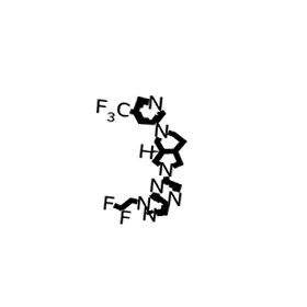 FC(F)Cn1ncc2ncc(N3CC4CCN(c5cncc(C(F)(F)F)c5)C[C@@H]4C3)nc21